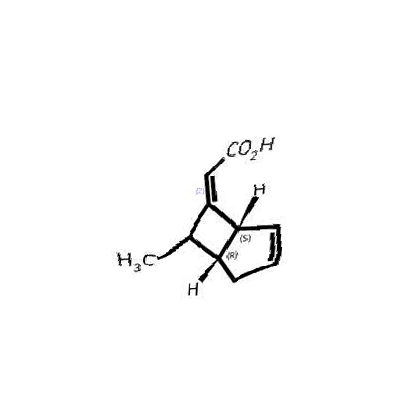 CC1/C(=C/C(=O)O)[C@@H]2C=CC[C@H]12